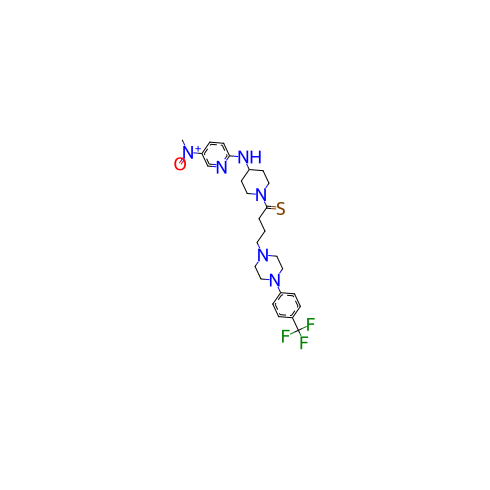 C[N+](=O)c1ccc(NC2CCN(C(=S)CCCN3CCN(c4ccc(C(F)(F)F)cc4)CC3)CC2)nc1